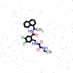 C[C@@H](NC(=O)c1cc(F)c(F)cc1CNC(=O)C(=O)NCC#N)c1cccc2ccccc12